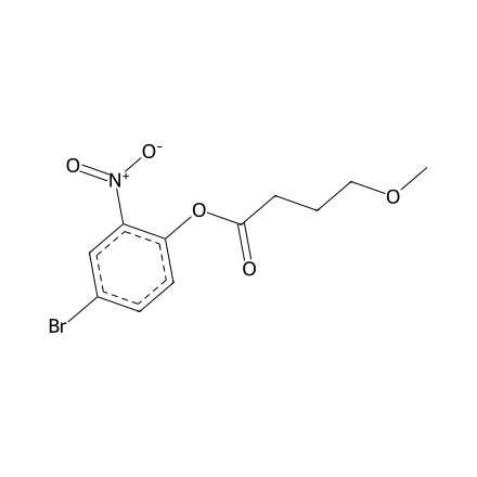 COCCCC(=O)Oc1ccc(Br)cc1[N+](=O)[O-]